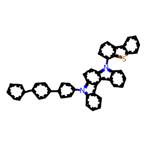 c1ccc(-c2ccc(-c3ccc(-n4c5ccccc5c5c6c7ccccc7n(-c7cccc8c7sc7ccccc78)c6ccc54)cc3)cc2)cc1